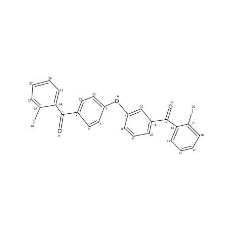 O=C(c1ccc(Oc2cccc(C(=O)c3ccccc3I)c2)cc1)c1ccccc1I